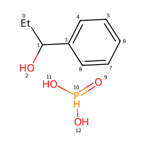 CCC(O)c1ccccc1.O=[PH](O)O